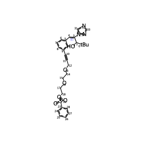 CC(C)(C)C(O)/C(=C\c1cccc(C#CCOCCOCCOS(=O)(=O)c2ccccc2)c1)n1cncn1